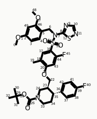 COc1ccc(CN(c2ncns2)S(=O)(=O)c2cc(C)c(OC[C@@H]3CN(C(=O)OC(C)(C)C)CC[C@H]3c3ccc(F)cc3)cc2F)c(OC)c1